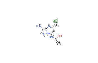 Cc1cc(NC(C)O)n2ncc(N)c2n1.Cl.Cl